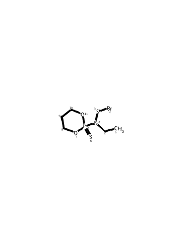 CCN(SBr)P1(=S)OCCCO1